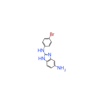 Nc1ccc2[nH]c(Nc3ccc(Br)cc3)nc2c1